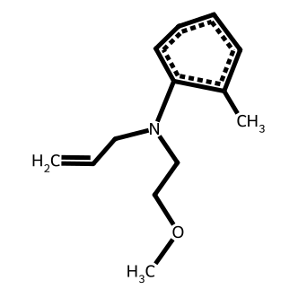 C=CCN(CCOC)c1ccccc1C